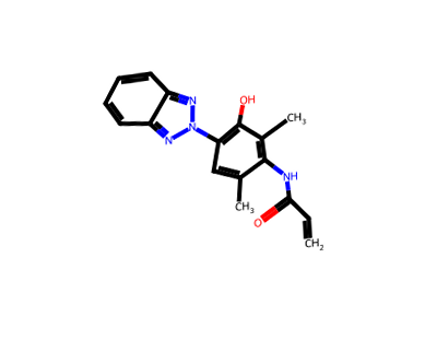 C=CC(=O)Nc1c(C)cc(-n2nc3ccccc3n2)c(O)c1C